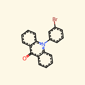 O=c1c2ccccc2n(-c2cccc(Br)c2)c2ccccc12